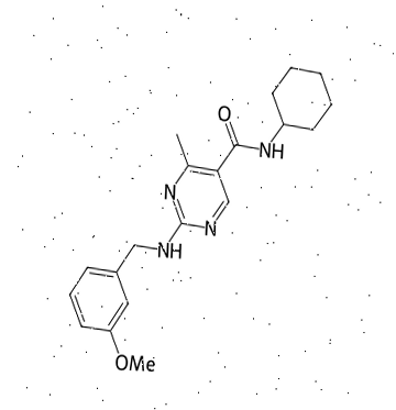 COc1cccc(CNc2ncc(C(=O)NC3CCCCC3)c(C)n2)c1